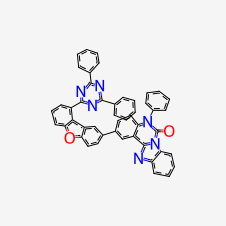 O=c1n(-c2ccccc2)c2ccc(-c3ccc4oc5cccc(-c6nc(-c7ccccc7)nc(-c7ccccc7)n6)c5c4c3)cc2c2nc3ccccc3n12